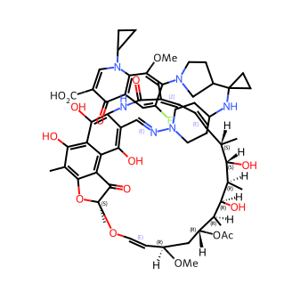 COc1c(N2CCC(C3(NC4CCN(/N=C/c5c6c(O)c7c(O)c(C)c8c(c7c5O)C(=O)[C@@](C)(O/C=C/[C@H](OC)C[C@@H](OC(C)=O)[C@H](C)[C@H](O)[C@H](C)[C@@H](O)[C@@H](C)/C=C/C=C(/C)C(=O)N6)O8)CC4)CC3)C2)c(F)cc2c(=O)c(C(=O)O)cn(C3CC3)c12